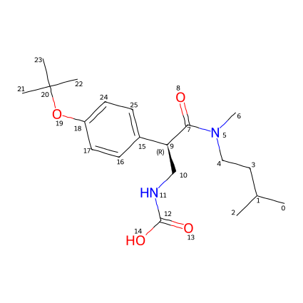 CC(C)CCN(C)C(=O)[C@@H](CNC(=O)O)c1ccc(OC(C)(C)C)cc1